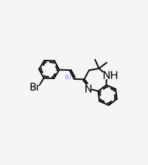 CC1(C)CC(/C=C/c2cccc(Br)c2)=Nc2ccccc2N1